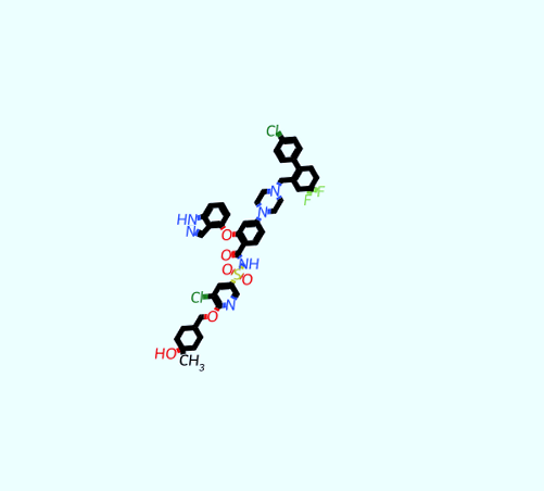 CC1(O)CCC(COc2ncc(S(=O)(=O)NC(=O)c3ccc(N4CCN(CC5=C(c6ccc(Cl)cc6)CCC(F)(F)C5)CC4)cc3Oc3cccc4[nH]ncc34)cc2Cl)CC1